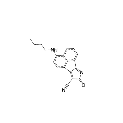 CCCCNc1ccc2c3c(cccc13)C1=NC(=O)C(C#N)=C12